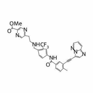 COC(=O)c1cnc(CCNCc2ccc(NC(=O)c3ccc(C)c(C#Cc4cnc5cccnn45)c3)cc2C(F)(F)F)cn1